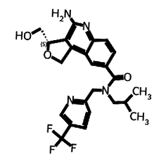 CC(C)CN(Cc1ccc(C(F)(F)F)cn1)C(=O)c1ccc2nc(N)c3c(c2c1)CO[C@@H]3CO